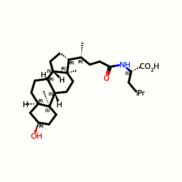 CC(C)C[C@H](NC(=O)CC[C@@H](C)[C@H]1CC[C@H]2[C@@H]3CC[C@@H]4C[C@H](O)CC[C@]4(C)[C@H]3CC[C@]12C)C(=O)O